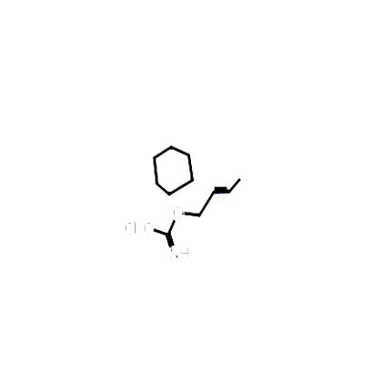 C/C=C/COC(=N)C(Cl)(Cl)Cl.C1CCCCC1